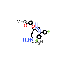 COC(=O)c1cccc(OCC(C#CCCN(N)C(=O)O)C2CN(C(c3ccc(F)cc3)c3ccc(F)cc3)CCN2)c1